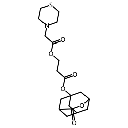 O=C(CN1CCSCC1)OCCC(=O)OC12CC3CC(C1)OC(=O)C(C3)C2